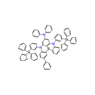 c1ccc(-c2ccc3c(c2)B2c4ccccc4N(c4cccc([Si](c5ccccc5)(c5ccccc5)c5ccccc5)c4)c4cc(N(c5ccccc5)c5ccccc5)cc(c42)N3c2cccc([Si](c3ccccc3)(c3ccccc3)c3ccccc3)c2)cc1